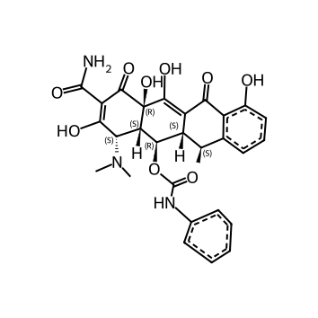 C[C@@H]1c2cccc(O)c2C(=O)C2=C(O)[C@@]3(O)C(=O)C(C(N)=O)=C(O)[C@@H](N(C)C)[C@H]3[C@H](OC(=O)Nc3ccccc3)[C@H]21